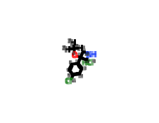 Cl.[2H]C([2H])([2H])OC1(c2ccc(Cl)cc2)CNC1